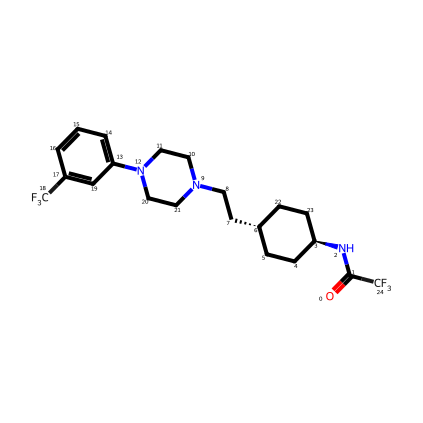 O=C(N[C@H]1CC[C@H](CCN2CCN(c3cccc(C(F)(F)F)c3)CC2)CC1)C(F)(F)F